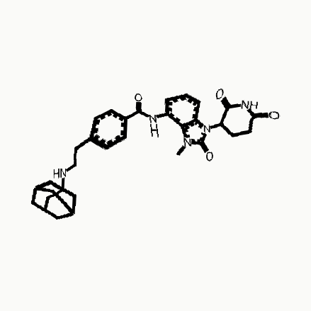 Cn1c(=O)n(C2CCC(=O)NC2=O)c2cccc(NC(=O)c3ccc(CCNC45CC6CC(CC(C6)C4)C5)cc3)c21